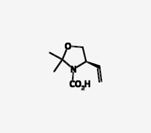 C=C[C@@H]1COC(C)(C)N1C(=O)O